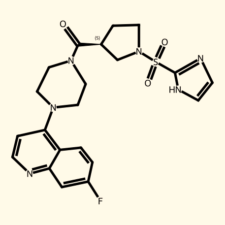 O=C([C@H]1CCN(S(=O)(=O)c2ncc[nH]2)C1)N1CCN(c2ccnc3cc(F)ccc23)CC1